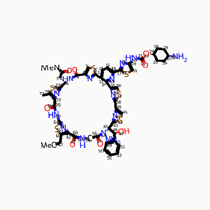 CNC(=O)C[C@@H]1NC(=O)c2csc(n2)-c2ccc(-c3nc(NC(=O)O[C@H]4CC[C@H](N)CC4)cs3)nc2-c2csc(n2)-c2csc(n2)[C@H]([C@@H](O)c2ccccc2)N(N)C(=O)CNC(=O)c2nc(sc2COC)NC(=O)c2nc1sc2C